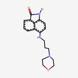 CCN1C(=O)c2cccc3c(NCCCN4CCOCC4)ccc1c23